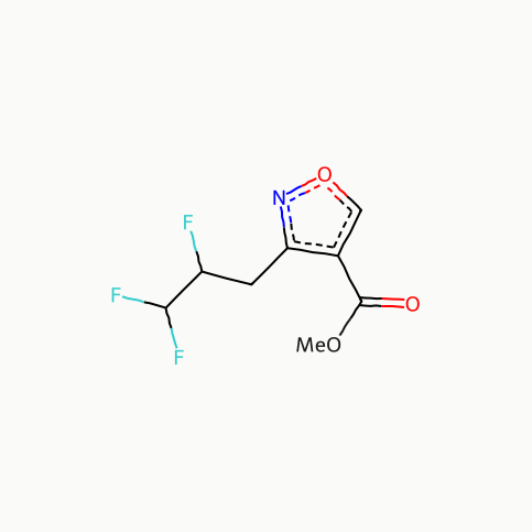 COC(=O)c1conc1CC(F)C(F)F